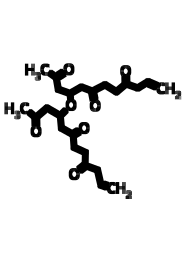 C=CCC(=O)CCC(=O)CC(CC(C)=O)OC(CC(C)=O)CC(=O)CCC(=O)CC=C